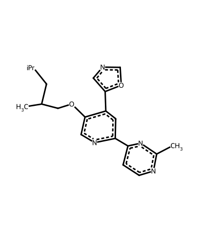 Cc1nccc(-c2cc(-c3cnco3)c(OCC(C)CC(C)C)cn2)n1